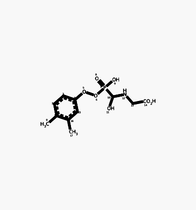 Cc1ccc(OOP(=O)(O)C(O)NCC(=O)O)cc1C